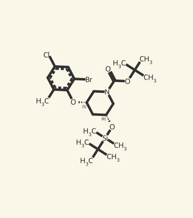 Cc1cc(Cl)cc(Br)c1O[C@H]1C[C@@H](O[Si](C)(C)C(C)(C)C)CN(C(=O)OC(C)(C)C)C1